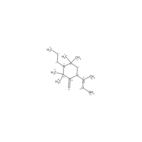 CCCN1C(C)(C)CC([SiH](C)O[SiH3])C(=O)C1(C)C